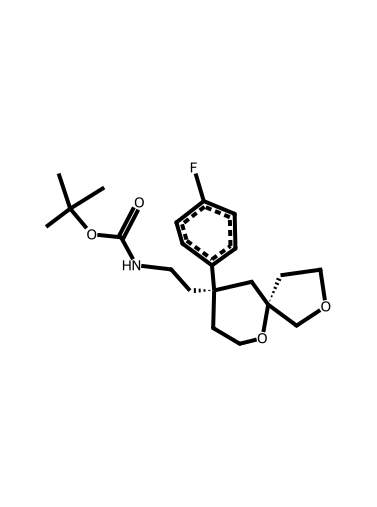 CC(C)(C)OC(=O)NCC[C@@]1(c2ccc(F)cc2)CCO[C@@]2(CCOC2)C1